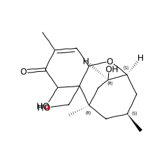 CC1=CC2O[C@H]3C[C@@H](C)C[C@](C)(C[C@H]3O)C2(CO)C(O)C1=O